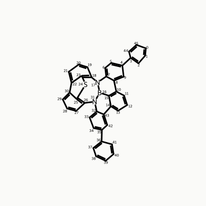 c1ccc(-c2ccc3c(c2)-c2cccc4c2B2N3c3cccc5c3sc3c(cccc35)N2c2ccc(-c3ccccc3)cc2-4)cc1